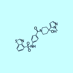 Cn1nccc1C1(O)CCN(C(=O)c2ccc(NS(=O)(=O)c3cccc4scnc34)cc2)CC1